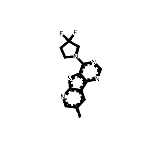 Cc1cnc2sc3c(N4CCC(F)(F)C4)ncnc3c2c1